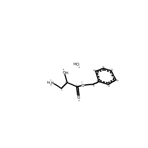 Cl.NCC(O)C(=O)OCc1ccccc1